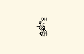 CCN(Cc1cc(=O)n2c([C@@H]3C[C@H]3CO)c(C)sc2n1)c1ccccn1